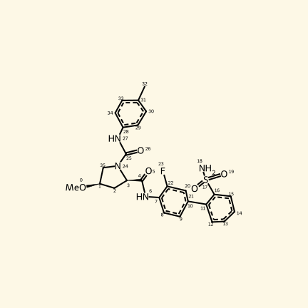 CO[C@@H]1C[C@H](C(=O)Nc2ccc(-c3ccccc3S(N)(=O)=O)cc2F)N(C(=O)Nc2ccc(C)cc2)C1